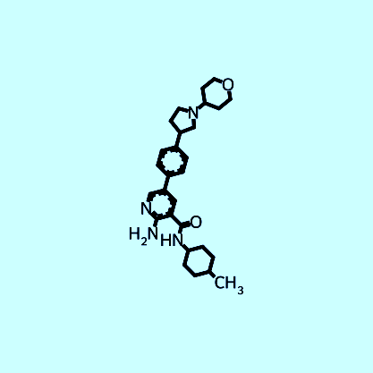 CC1CCC(NC(=O)c2cc(-c3ccc(C4CCN(C5CCOCC5)C4)cc3)cnc2N)CC1